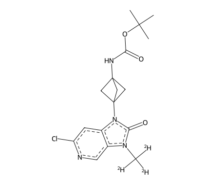 [2H]C([2H])([2H])n1c(=O)n(C23CC(NC(=O)OC(C)(C)C)(C2)C3)c2cc(Cl)ncc21